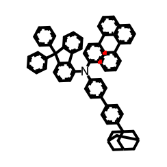 c1ccc(-c2cccc3cccc(-c4ccc(N(c5ccc(-c6ccc(C78CC9CC(CC(C9)C7)C8)cc6)cc5)c5cccc6c5-c5ccccc5C6(c5ccccc5)c5ccccc5)cc4)c23)cc1